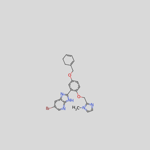 Cn1ccnc1COc1ccc(OCC2=CC=CCC2)cc1-c1nc2cc(Br)cnc2[nH]1